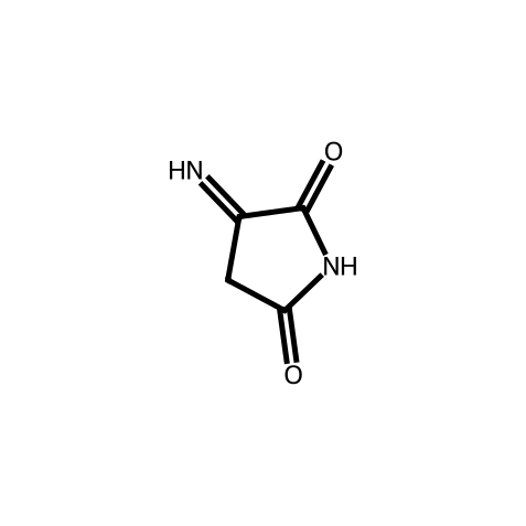 N=C1CC(=O)NC1=O